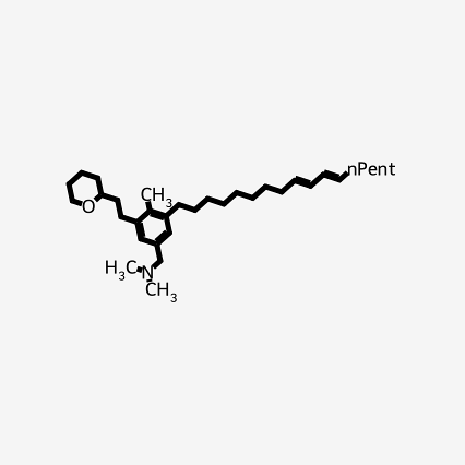 CCCCC/C=C/C=C/CCCCCCCCc1cc(CN(C)C)cc(CCC2CCCCO2)c1C